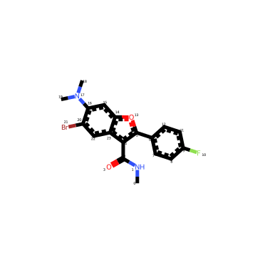 CNC(=O)c1c(-c2ccc(F)cc2)oc2cc(N(C)C)c(Br)cc12